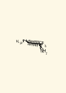 NCCC(F)(F)C(F)(F)C(F)(F)C(F)(F)C(F)(F)C(F)(F)C(F)(F)C(F)(CCN)C(F)(F)F